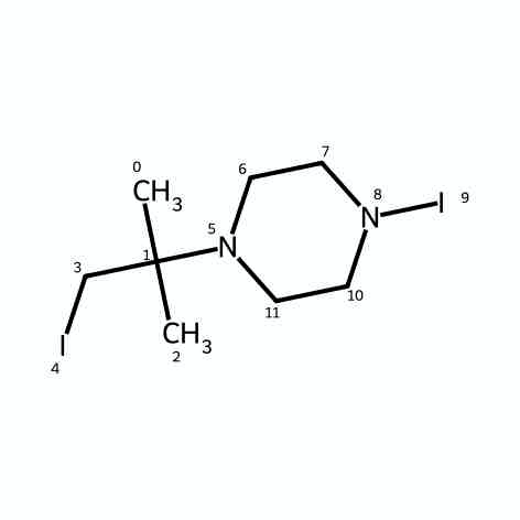 CC(C)(CI)N1CCN(I)CC1